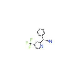 N#CC(c1ccccc1)c1cc(C(F)(F)F)ccn1